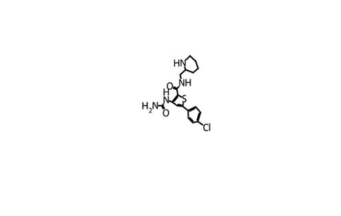 NC(=O)Nc1cc(-c2ccc(Cl)cc2)sc1C(=O)NCC1CCCCN1